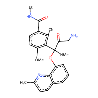 CCNC(=O)c1ccc(OC)c(C(NC)(Oc2cccc3ccc(C)nc23)C(=O)CN)c1C#N